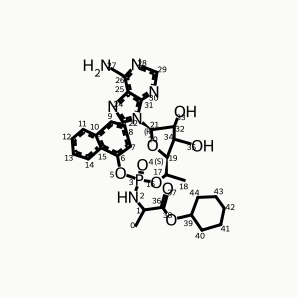 CC(NP(=O)(Oc1cccc2ccccc12)OC(C)[C@H]1O[C@@H](n2cnc3c(N)ncnc32)C(O)C1O)C(=O)OC1CCCCC1